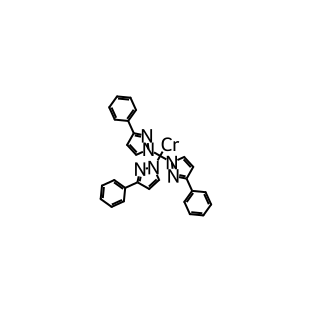 [Cr][C](n1ccc(-c2ccccc2)n1)(n1ccc(-c2ccccc2)n1)n1ccc(-c2ccccc2)n1